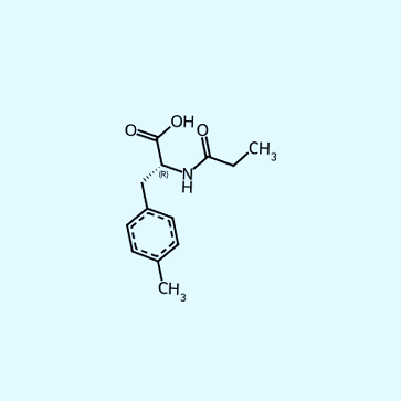 CCC(=O)N[C@H](Cc1ccc(C)cc1)C(=O)O